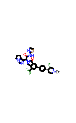 CCN1CC[C@H](c2ccc(-c3cc4c(c(C(F)F)c3)CN(C(C(=O)Nc3nccs3)c3ncn5c3CCC5)C4=O)cc2)[C@@H](F)C1